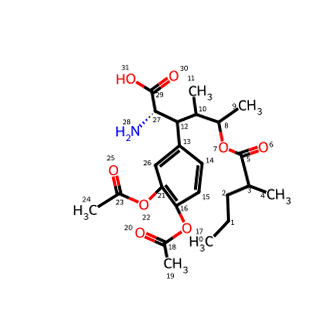 CCCC(C)C(=O)OC(C)C(C)C(c1ccc(OC(C)=O)c(OC(C)=O)c1)[C@H](N)C(=O)O